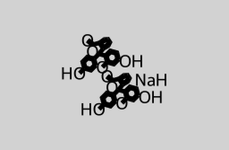 O=C1OC2(c3ccc(O)cc3Oc3cc(O)ccc32)c2ccccc21.O=C1OC2(c3ccc(O)cc3Oc3cc(O)ccc32)c2ccccc21.[NaH]